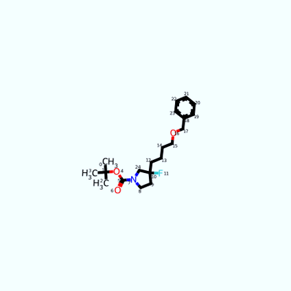 CC(C)(C)OC(=O)N1CCC(F)(CCCCOCc2ccccc2)C1